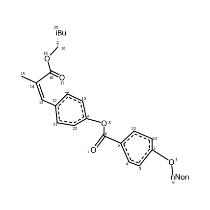 CCCCCCCCCOc1ccc(C(=O)Oc2ccc(C=C(C)C(=O)OC[C@@H](C)CC)cc2)cc1